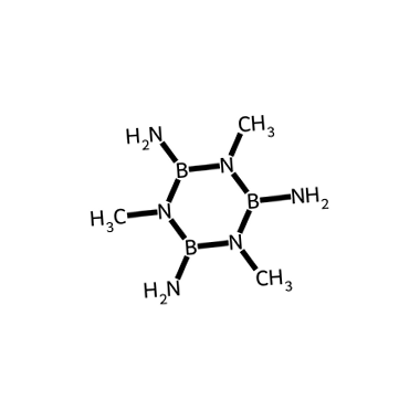 CN1B(N)N(C)B(N)N(C)B1N